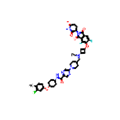 CC(C)N(CC1CCN(c2cnc(C(=O)N[C@H]3CC[C@H](Oc4ccc(C#N)c(Cl)c4)CC3)cn2)CC1)[C@H]1C[C@H](Oc2c(F)cc3c(c2F)C(=O)N(C2CCC(=O)NC2=O)C3=O)C1